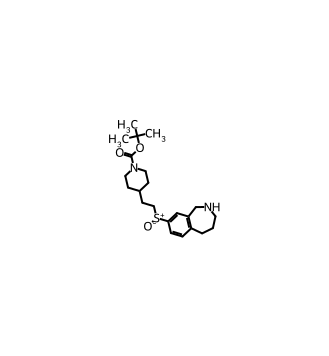 CC(C)(C)OC(=O)N1CCC(CC[S+]([O-])c2ccc3c(c2)CNCCC3)CC1